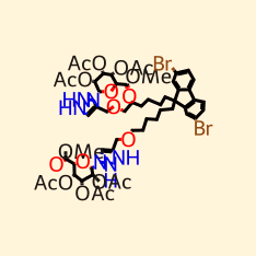 COC(=O)C1OC(N2C=C(COCCCCCCC3(CCCCCCOCC4=CNNN4C4OC(C(=O)OC)C(OC(C)=O)C(OC(C)=O)C4OC(C)=O)c4cc(Br)ccc4-c4ccc(Br)cc43)NN2)C(OC(C)=O)C(OC(C)=O)C1OC(C)=O